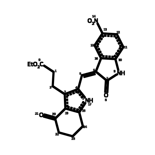 CCOC(=O)CCc1c(/C=C2\C(=O)Nc3ccc([N+](=O)[O-])cc32)[nH]c2c1C(=O)CCC2